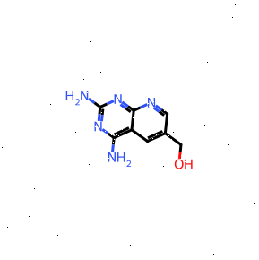 Nc1nc(N)c2cc(CO)cnc2n1